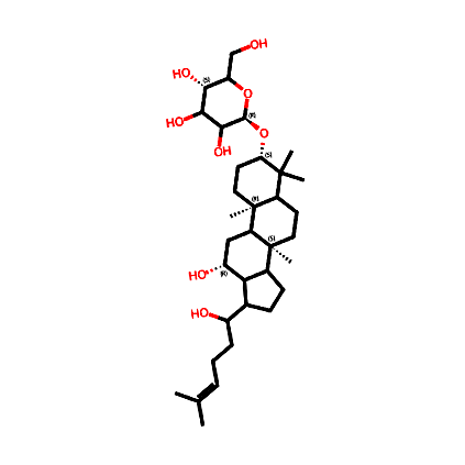 CC(C)=CCCC(O)C1CCC2C1[C@H](O)CC1[C@@]2(C)CCC2C(C)(C)[C@@H](O[C@@H]3OC(CO)[C@@H](O)C(O)C3O)CC[C@@]21C